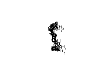 CC[C@H]1CC[C@@H](c2nc3ccc4cc5c(cc4c3[nH]2)OCc2cc(-c3cnc([C@@H]4CC[C@H](C)N4C(=O)C(NC=O)C(C)C)[nH]3)ccc2-5)N1C(=O)[C@@H](NC(=O)OC)C1CCOCC1